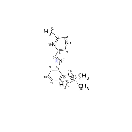 Cc1cncc(/C=N/c2ccccc2O[Si](C)(C)C)n1